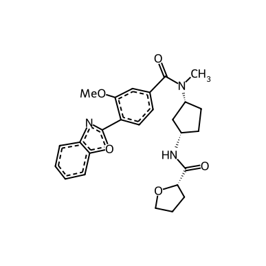 COc1cc(C(=O)N(C)[C@@H]2CC[C@H](NC(=O)[C@@H]3CCCO3)C2)ccc1-c1nc2ccccc2o1